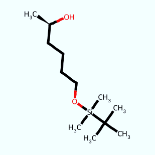 C[C@@H](O)CCCCO[Si](C)(C)C(C)(C)C